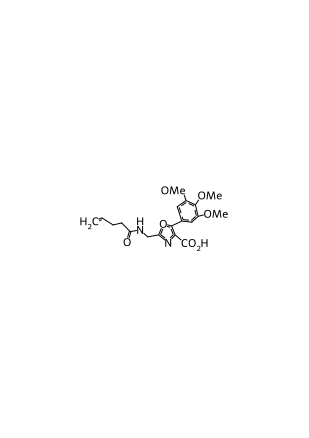 C=CCCC(=O)NCc1nc(C(=O)O)c(-c2cc(OC)c(OC)c(OC)c2)o1